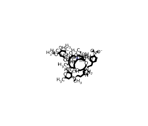 C=C1CO[C@@H]2[C@@H](C)/C(=N/O)[C@H](C)C[C@@](C)(OC1)[C@H](O[C@@H]1O[C@H](C)C[C@H](N(C)CCc3cn(CCc4ccc([N+](=O)[O-])cc4)nn3)C1O)[C@@H](C)[C@H](OC1C[C@@](C)(OC)[C@@H](O)[C@H](C)O1)[C@@H](C)C(=O)O[C@H](CC)[C@@]2(C)O